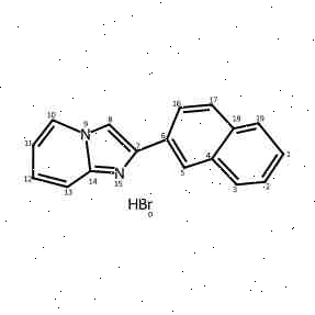 Br.c1ccc2cc(-c3cn4ccccc4n3)ccc2c1